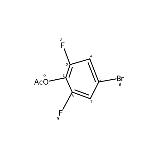 CC(=O)Oc1c(F)cc(Br)cc1F